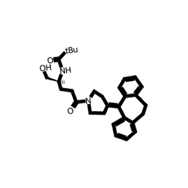 CC(C)(C)C(=O)N[C@H](CO)CCC(=O)N1CCC(=C2c3ccccc3CCc3ccccc32)CC1